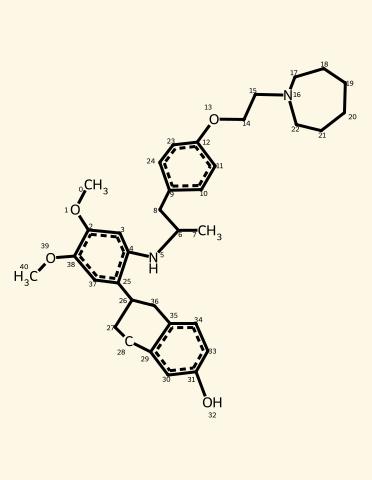 COc1cc(NC(C)Cc2ccc(OCCN3CCCCCC3)cc2)c(C2CCc3cc(O)ccc3C2)cc1OC